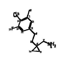 Cc1cc(CCC2(CN)CC2)cc(F)c1Cl